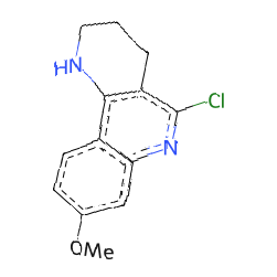 COc1ccc2c3c(c(Cl)nc2c1)CCCN3